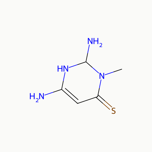 CN1C(=S)C=C(N)NC1N